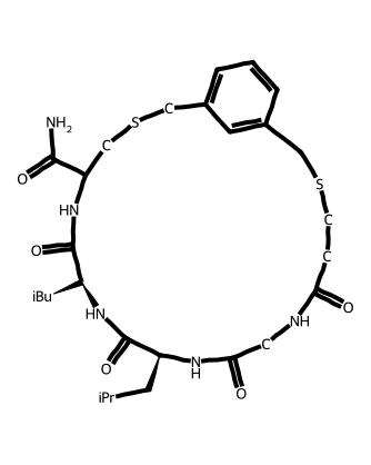 CC[C@H](C)[C@@H]1NC(=O)[C@H](CC(C)C)NC(=O)CNC(=O)CCSCc2cccc(c2)CSCC(C(N)=O)NC1=O